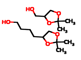 CC1(C)OCC(CCCCO)O1.CC1(C)OCC(CO)O1